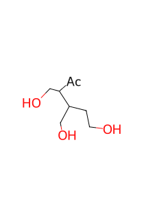 CC(=O)C(CO)C(CO)CCO